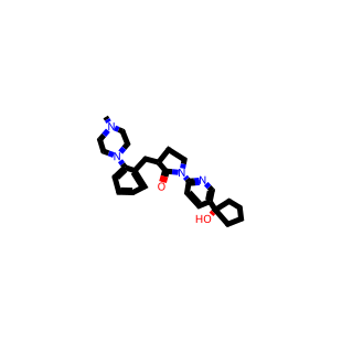 CN1CCN(c2ccccc2CC2CCN(c3ccc(C4(O)CCCC4)cn3)C2=O)CC1